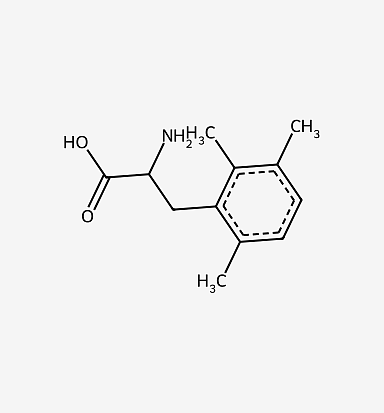 Cc1ccc(C)c(CC(N)C(=O)O)c1C